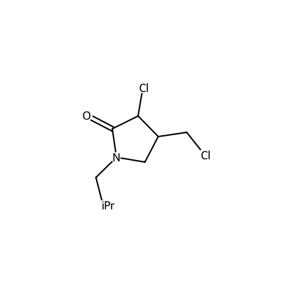 CC(C)CN1CC(CCl)C(Cl)C1=O